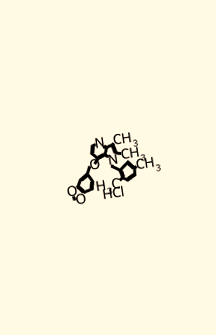 Cc1ccc(C)c(Cn2c(C)c(C)c3nccc(OCc4ccc5c(c4)OCO5)c32)c1.Cl